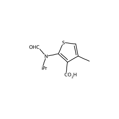 Cc1csc(N(C=O)C(C)C)c1C(=O)O